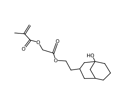 C=C(C)C(=O)OCC(=O)OCCC1CC2CCCC(O)(C2)C1